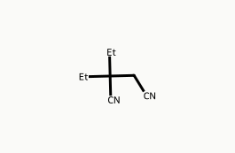 CCC(C#N)(CC)CC#N